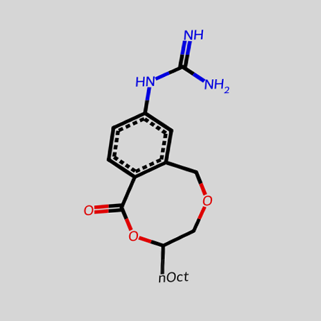 CCCCCCCCC1COCc2cc(NC(=N)N)ccc2C(=O)O1